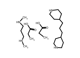 C(CC1CCNCC1)CC1CCNCC1.CCC(=O)O.CCC(=O)O.CNCCCNC